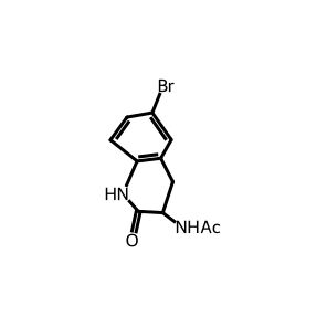 CC(=O)NC1Cc2cc(Br)ccc2NC1=O